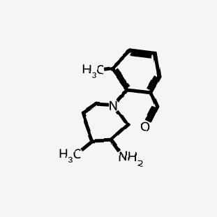 Cc1cccc(C=O)c1N1CCC(C)C(N)C1